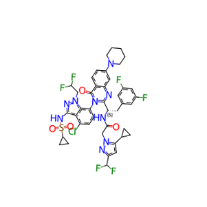 O=C(Cn1nc(C(F)F)cc1C1CC1)N[C@@H](Cc1cc(F)cc(F)c1)c1nc2cc(N3CCCCC3)ccc2c(=O)n1-c1ccc(Cl)c2c(NS(=O)(=O)C3CC3)nn(CC(F)F)c12